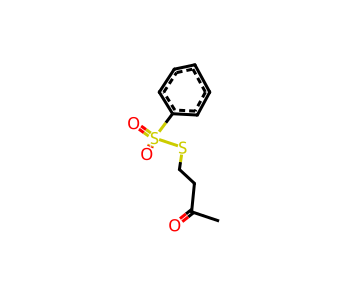 CC(=O)CCSS(=O)(=O)c1ccccc1